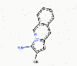 N#Cc1cc2cc3ccccc3cn2c1N